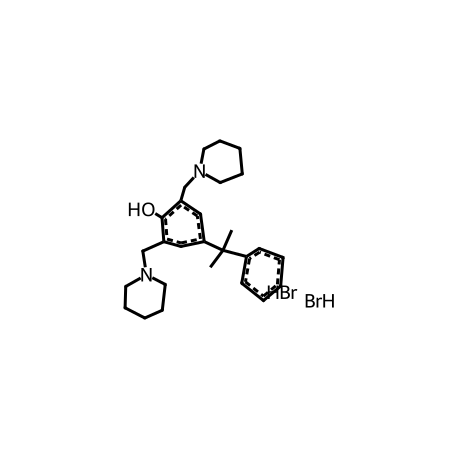 Br.Br.CC(C)(c1ccccc1)c1cc(CN2CCCCC2)c(O)c(CN2CCCCC2)c1